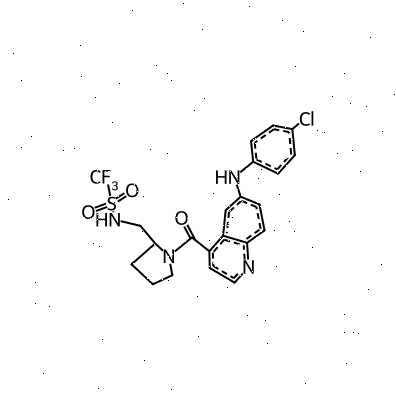 O=C(c1ccnc2ccc(Nc3ccc(Cl)cc3)cc12)N1CCCC1CNS(=O)(=O)C(F)(F)F